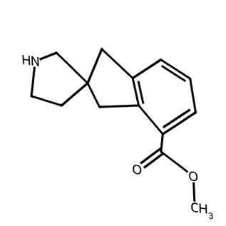 COC(=O)c1cccc2c1CC1(CCNC1)C2